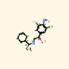 C[C@H](NCC(O)c1cc(Cl)c(N)c(Cl)c1)C1CCCCC1